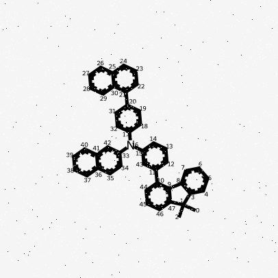 CC1(C)c2ccccc2-c2c(-c3cccc(N(c4ccc(-c5cccc6ccccc56)cc4)c4ccc5ccccc5c4)c3)cccc21